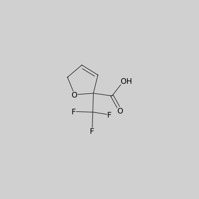 O=C(O)C1(C(F)(F)F)C=CCO1